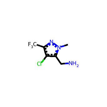 Cn1nc(C(F)(F)F)c(Cl)c1CN